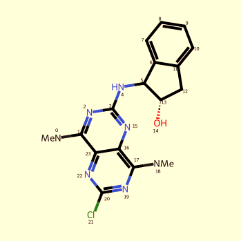 CNc1nc(NC2c3ccccc3C[C@@H]2O)nc2c(NC)nc(Cl)nc12